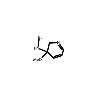 CCNC1(OC)[CH]N=CC=C1